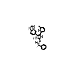 Cc1cccc(-c2nc(CN(I)[C@@H](C)c3ccccc3)[nH]c2-c2ccc3ncnn3c2)n1